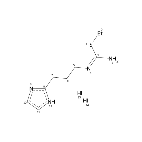 CCSC(N)=NCCCc1ncc[nH]1.I.I